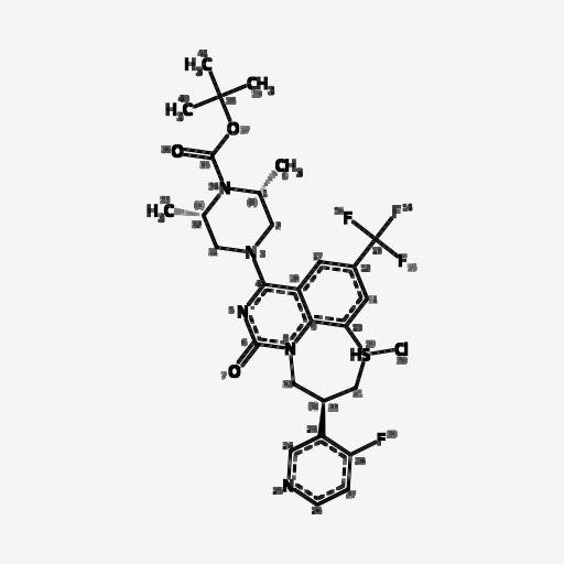 C[C@@H]1CN(c2nc(=O)n3c4c(cc(C(F)(F)F)cc24)[SH](Cl)C[C@@H](c2cnccc2F)C3)C[C@H](C)N1C(=O)OC(C)(C)C